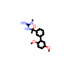 COc1ccc(OC)c(-c2cccc(C3(C)NC(=N)N(C)O3)c2)c1